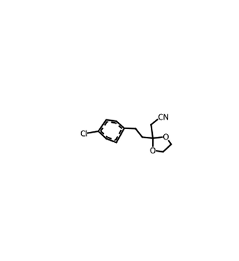 N#CCC1(CCc2ccc(Cl)cc2)OCCO1